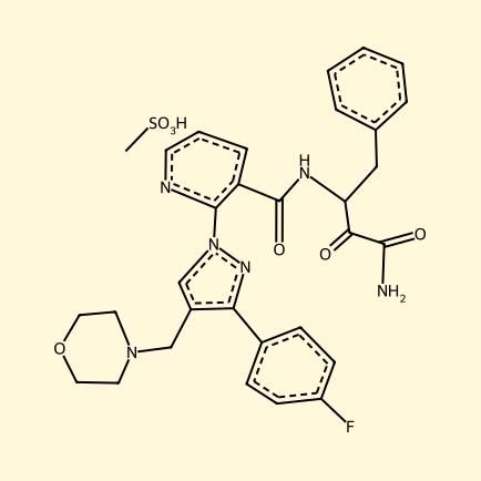 CS(=O)(=O)O.NC(=O)C(=O)C(Cc1ccccc1)NC(=O)c1cccnc1-n1cc(CN2CCOCC2)c(-c2ccc(F)cc2)n1